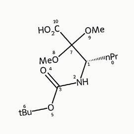 CCC[C@H](NC(=O)OC(C)(C)C)C(OC)(OC)C(=O)O